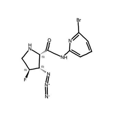 [N-]=[N+]=N[C@H]1[C@@H](C(=O)Nc2cccc(Br)n2)NC[C@@H]1F